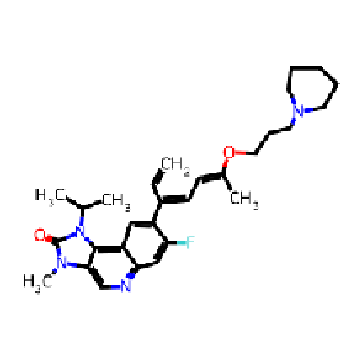 C=C/C(=C\C=C(/C)OCCCN1CCCCC1)c1cc2c(cc1F)ncc1c2n(C(C)C)c(=O)n1C